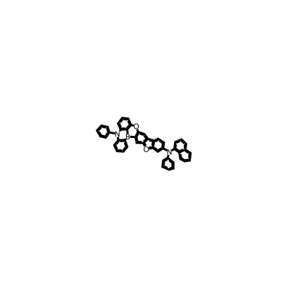 c1ccc(N2c3ccccc3B3c4cc5oc6cc(N(c7ccccc7)c7cccc8ccccc78)ccc6c5cc4Oc4cccc2c43)cc1